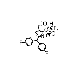 O=C(O)Cc1sc(C(c2ccc(F)cc2)c2ccc(F)cc2)nc1OS(=O)(=O)C(F)(F)F